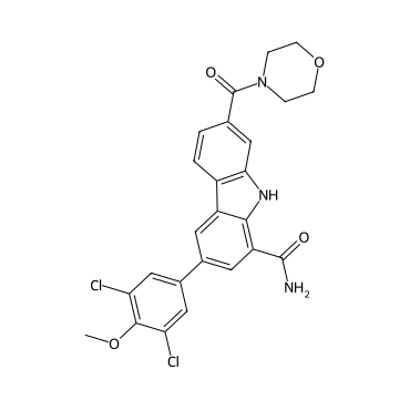 COc1c(Cl)cc(-c2cc(C(N)=O)c3[nH]c4cc(C(=O)N5CCOCC5)ccc4c3c2)cc1Cl